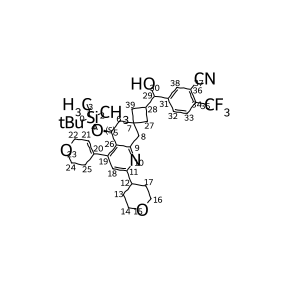 CC(C)(C)[Si](C)(C)O[C@H]1CC2(Cc3nc(C4CCOCC4)cc(C4=CCOCC4)c31)CC(C(O)c1ccc(C(F)(F)F)c(C#N)c1)C2